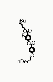 CCCCCCCCCCCCOc1ccc(C(=O)Oc2ccc(C(=O)OCCCCC(C)CC)c(F)c2)cc1